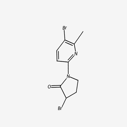 Cc1nc(N2CCC(Br)C2=O)ccc1Br